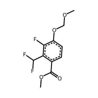 COCOc1ccc(C(=O)OC)c(C(F)F)c1F